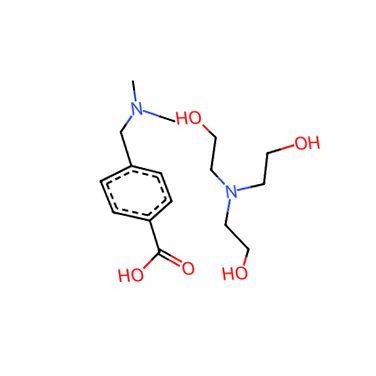 CN(C)Cc1ccc(C(=O)O)cc1.OCCN(CCO)CCO